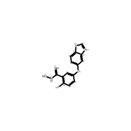 N=C(NO)c1cc(Oc2ccc3scnc3c2)ccc1F